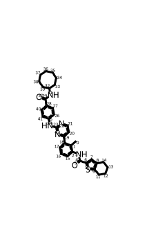 Cc1c(NC(=O)c2cc3c(s2)CCCC3)cccc1-c1ccnc(Nc2ccc(C(=O)NC3CCCCCCC3)cc2)n1